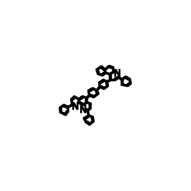 c1ccc(-c2cc(-c3ccc(-c4ccc(-c5cc6ccc(-c7ccccc7)nc6c6nc(-c7ccccc7)ccc56)cc4)cc3)c3c(ccc4ccccc43)n2)cc1